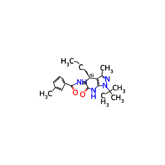 CCCC[C@H]1c2c(C)nn(C(C)(C)C)c2NC(=O)[C@@H]1NC(=O)c1cccc(C)c1